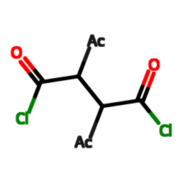 CC(=O)C(C(=O)Cl)C(C(C)=O)C(=O)Cl